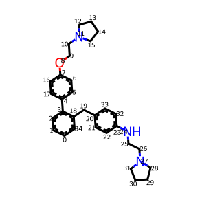 c1ccc(-c2ccc(OCCN3CCCC3)cc2)c(Cc2ccc(NCCN3CCCC3)cc2)c1